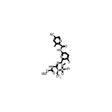 CCCS(=O)(=NC)N(CC(F)(F)F)/C(=N\Cc1nc(NC(=O)c2ncc(C#N)cc2C)ccc1F)NC(=O)OC(C)(C)C